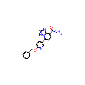 NC(=O)c1ccc(-c2ccc(OCc3ccccc3)nc2)n2n[c]nc12